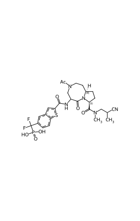 CC(=O)N1CC[C@H]2CC[C@@H](C(=O)N(C)CC(C)C#N)N2C(=O)C(NC(=O)c2cc3cc(C(F)(F)P(=O)(O)O)ccc3s2)C1